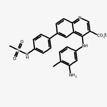 CCOC(=O)c1cnc2ccc(-c3ccc(NS(C)(=O)=O)cc3)cc2c1Nc1ccc(C)c(N)c1